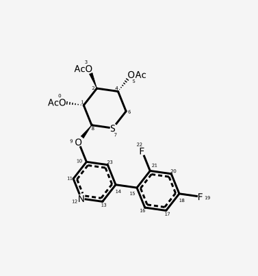 CC(=O)O[C@@H]1[C@@H](OC(C)=O)[C@H](OC(C)=O)CS[C@H]1Oc1cncc(-c2ccc(F)cc2F)c1